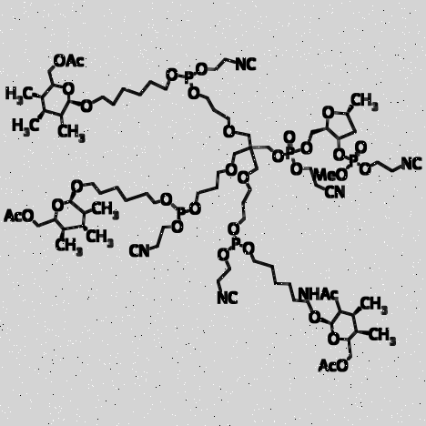 [C-]#[N+]CCOP(OCCCCCCO[C@@H]1OC(COC(C)=O)[C@H](C)[C@H](C)C1C)OCCCOCC(COCCCOP(OCCCCCCO[C@@H]1OC(COC(C)=O)[C@H](C)[C@H](C)C1C)OCC[N+]#[C-])(COCCCOP(OCCCCCCO[C@@H]1OC(COC(C)=O)[C@H](C)[C@H](C)C1NC(C)=O)OCC[N+]#[C-])COP(=O)(OCCC#N)OC[C@H]1O[C@@H](C)CC1OP(=O)(OC)OCC[N+]#[C-]